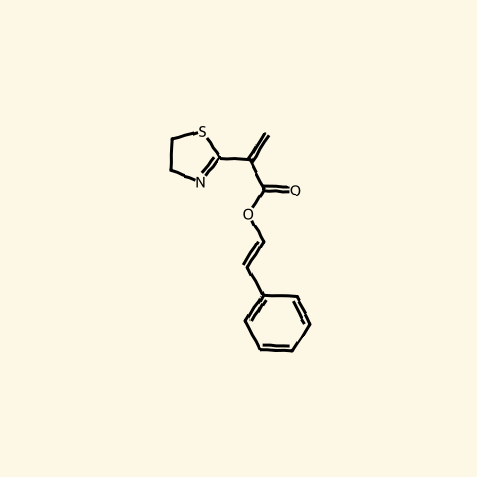 C=C(C(=O)OC=Cc1ccccc1)C1=NCCS1